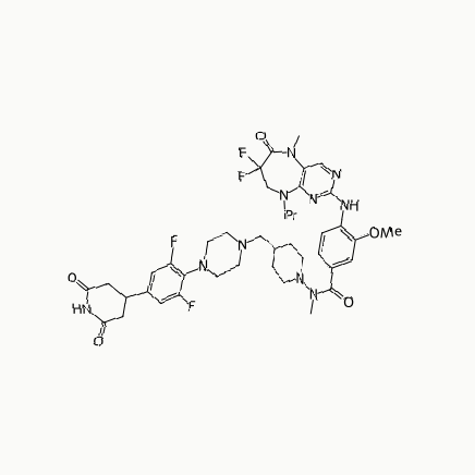 COc1cc(C(=O)N(C)N2CCC(CN3CCN(c4c(F)cc(C5CC(=O)NC(=O)C5)cc4F)CC3)CC2)ccc1Nc1ncc2c(n1)N(C(C)C)CC(F)(F)C(=O)N2C